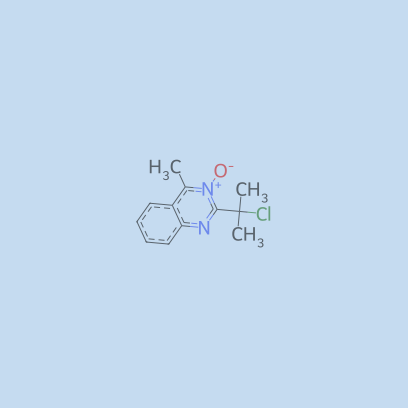 Cc1c2ccccc2nc(C(C)(C)Cl)[n+]1[O-]